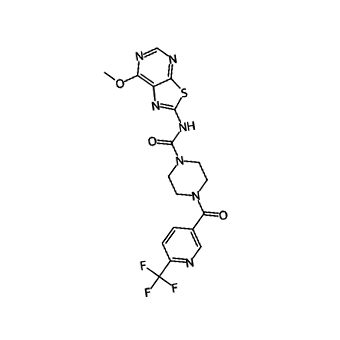 COc1ncnc2sc(NC(=O)N3CCN(C(=O)c4ccc(C(F)(F)F)nc4)CC3)nc12